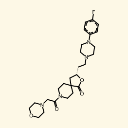 O=C(CN1CCOCC1)N1CCC2(CC1)C[C@H](CCN1CCN(c3ccc(F)cc3)CC1)OC2=O